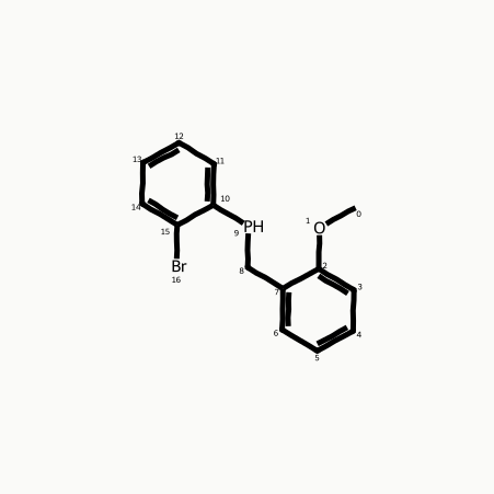 COc1ccccc1CPc1ccccc1Br